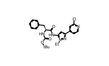 CCn1nc(-c2ccnc(Cl)c2)cc1NC(=O)[C@H](Cc1ccccc1)NC(=O)OC(C)(C)C